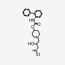 CCN(C)CC(O)CN1CCC(OC(=O)Nc2ccccc2-c2ccccc2)CC1